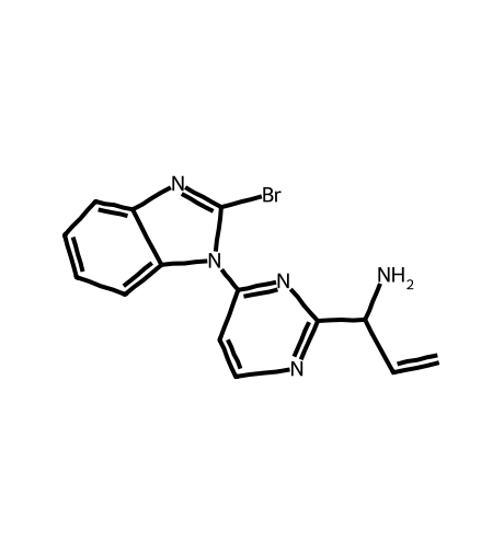 C=CC(N)c1nccc(-n2c(Br)nc3ccccc32)n1